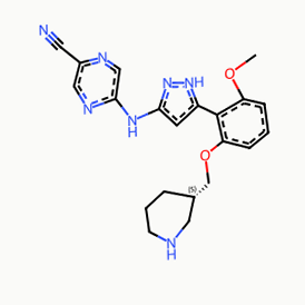 COc1cccc(OC[C@H]2CCCNC2)c1-c1cc(Nc2cnc(C#N)cn2)n[nH]1